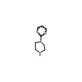 [CH]1CNCCN1c1ncccn1